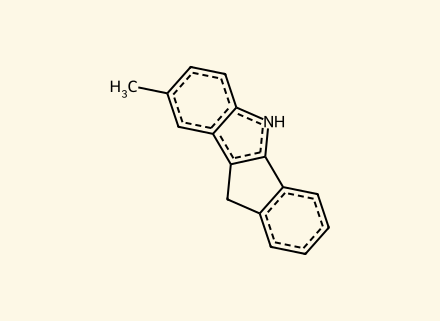 Cc1ccc2[nH]c3c(c2c1)Cc1ccccc1-3